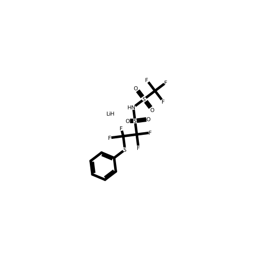 O=S(=O)(NS(=O)(=O)C(F)(F)C(F)(F)Sc1ccccc1)C(F)(F)F.[LiH]